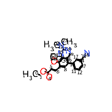 CCOC(=O)/C=C/c1cc(-c2cccc(C#N)c2)c2cnc(N(C)C)nc2c1OC